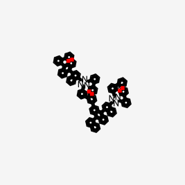 c1ccc(-c2ccccc2-c2nc(-c3ccc(-c4c5ccccc5c(-c5ccccc5-c5ccccc5)c5ccccc45)c4ccccc34)nc(-c3cccc4c3sc3ccc(-c5ccc6c(-c7cccc8ccccc78)c7ccccc7c(-c7ccc(-c8nc(-c9ccccc9-c9ccccc9)nc(-c9cccc%10c9sc9ccccc9%10)n8)c8ccccc78)c6c5)cc34)n2)cc1